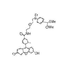 CCN(CCOCCNC(=O)c1ccc(-c2c3ccc(=O)cc-3oc3cc(O)ccc23)c(C)c1)c1ccc(C(OC)OC)cc1